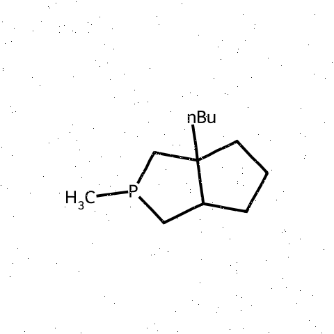 CCCCC12CCCC1CP(C)C2